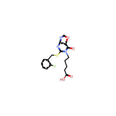 O=C(O)CCCCn1c(SCc2ccccc2F)nc2ncoc2c1=O